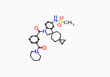 CS(=O)(=O)Nc1ccc2c(c1)C1(CCC3(CC3)CC1)CN2C(=O)c1cccc(C(=O)N2CCCCC2)c1